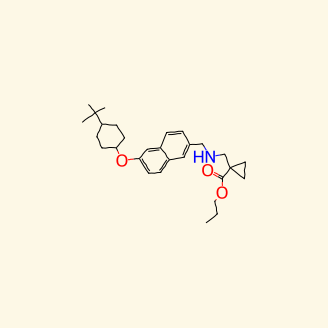 CCCOC(=O)C1(CNCc2ccc3cc(OC4CCC(C(C)(C)C)CC4)ccc3c2)CC1